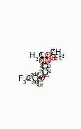 CCOC(C)OC(=O)[C@@H](C)Oc1ccc2ccc(Oc3ccc(C(F)(F)F)cc3Cl)cc2c1